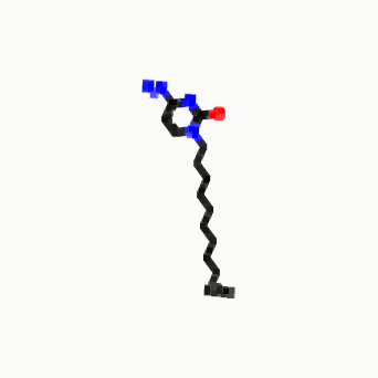 CCCCCCCCCCCCCCCCCCCn1ccc(N)nc1=O